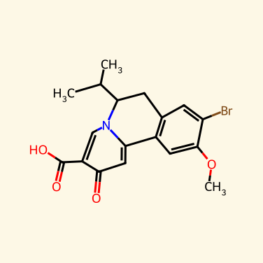 COc1cc2c(cc1Br)CC(C(C)C)n1cc(C(=O)O)c(=O)cc1-2